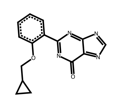 O=C1N=C(c2ccccc2OCC2CC2)N=C2N=CN=C12